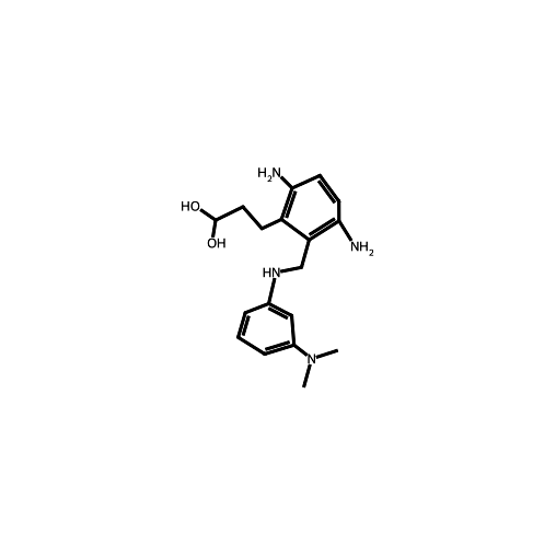 CN(C)c1cccc(NCc2c(N)ccc(N)c2CCC(O)O)c1